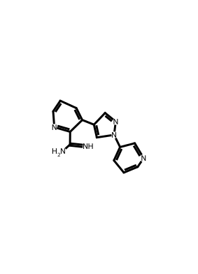 N=C(N)c1ncccc1-c1cnn(-c2cccnc2)c1